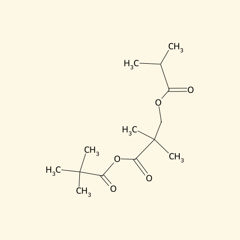 CC(C)C(=O)OCC(C)(C)C(=O)OC(=O)C(C)(C)C